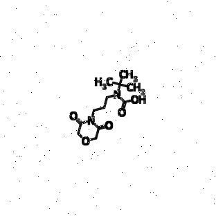 CC(C)(C)N(CCCN1C(=O)COCC1=O)C(=O)O